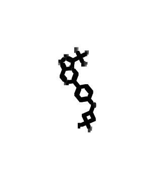 FC1(F)CC(Oc2ccc(-c3cn4c(C(F)(F)Br)nnc4cn3)cc2)C1